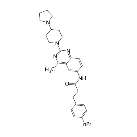 CCCc1ccc(CCC(=O)Nc2ccc3nc(N4CCC(N5CCCC5)CC4)nc(C)c3c2)cc1